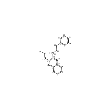 CCOc1nc2ccccc2nc1NCCc1ccccc1